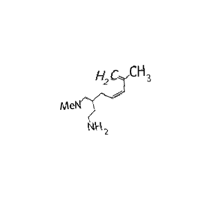 C=C(C)/C=C\CC(CCN)CNC